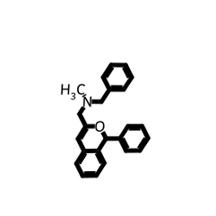 CN(CC1=Cc2ccccc2C(c2ccccc2)O1)Cc1ccccc1